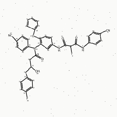 N#Cc1ccc(NC(=O)C(F)C(=O)Nc2ccc(Oc3ccccc3)c(N(C(=O)CC(O)Cc3ccc(F)cc3)c3ccc(C#N)cc3)c2)cc1